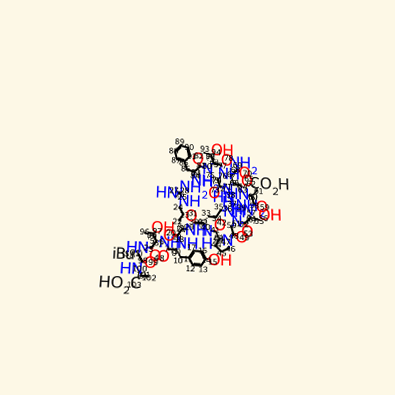 CC[C@H](C)[C@H](NC(=O)[C@@H](NC(=O)[C@H](Cc1ccc(O)cc1)NC(=O)[C@H](CCCNC(=N)N)NC(=O)[C@H](CCCNC(=N)N)NC(=O)[C@@H]1CCCN1C(=O)CNC(=O)[C@H](CO)NC(=O)[C@H](CC(=O)O)NC(=O)[C@H](CC(N)=O)NC(=O)[C@H](C)NC(=O)[C@@H](NC(=O)[C@@H](N)Cc1ccccc1)[C@@H](C)O)[C@@H](C)O)C(=O)N[C@@H](C)C(=O)O